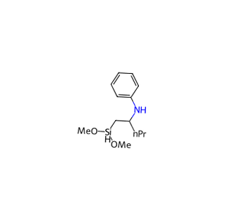 CCCC(C[SiH](OC)OC)Nc1ccccc1